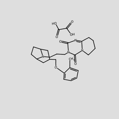 Cc1ccccc1OCC1CC2CCC(C1)N2CCCn1c(=O)nc2n(c1=O)CCCC2.O=C(O)C(=O)O